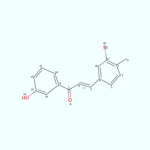 Cc1ccc(/C=C/C(=O)c2cccc(O)c2)cc1Br